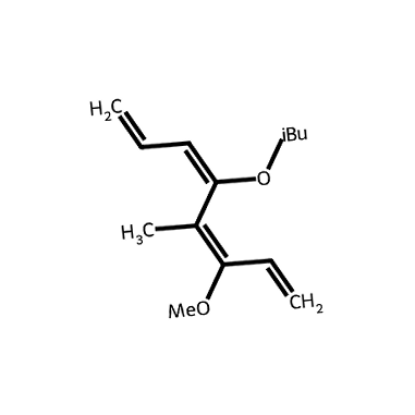 C=C/C=C(OC(C)CC)\C(C)=C(/C=C)OC